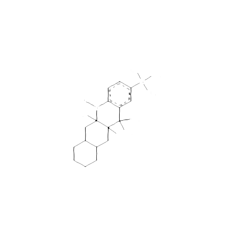 CC1(C)c2cc([Si](C)(C)C)ccc2N(N)C2(C)CC3CCCCC3CC12C